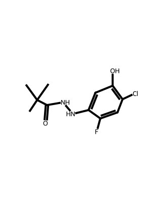 CC(C)(C)C(=O)NNc1cc(O)c(Cl)cc1F